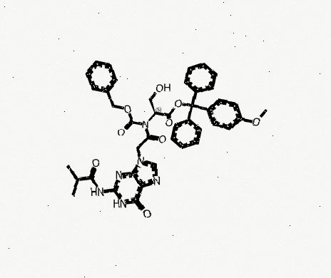 COc1ccc(C(OC(=O)[C@H](CO)N(C(=O)Cn2cnc3c(=O)[nH]c(NC(=O)C(C)C)nc32)C(=O)OCc2ccccc2)(c2ccccc2)c2ccccc2)cc1